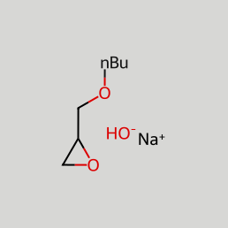 CCCCOCC1CO1.[Na+].[OH-]